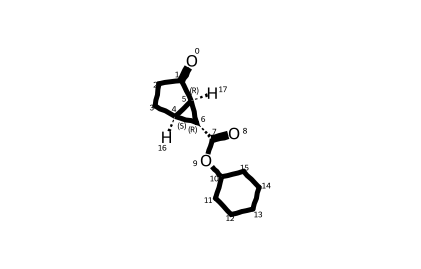 O=C1CC[C@H]2[C@@H]1[C@@H]2C(=O)OC1CCCCC1